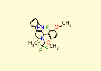 [CH2]COc1ccc(OC)c([C@@H]2c3[nH]c4ccccc4c3C[C@@H](C)N2CC(F)(F)F)c1F